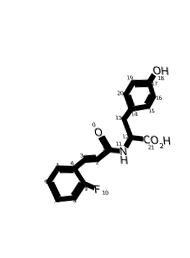 O=C(C=Cc1ccccc1F)NC(Cc1ccc(O)cc1)C(=O)O